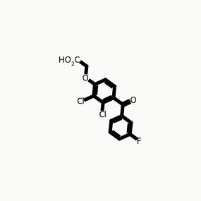 O=C(O)COc1ccc(C(=O)c2cccc(F)c2)c(Cl)c1Cl